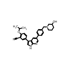 CC(C)Oc1ccc(-c2c[nH]c3ncc(-c4ccc(CN5CCCC(O)C5)cc4)cc23)cc1C#N